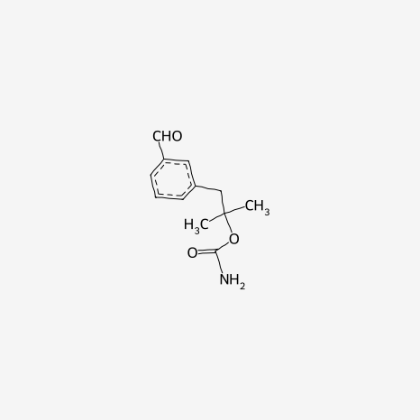 CC(C)(Cc1cccc(C=O)c1)OC(N)=O